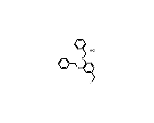 Cl.ClCc1cc(OCc2ccccc2)c(OCc2ccccc2)cn1